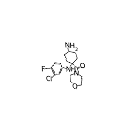 NC1CCC(Nc2ccc(F)c(Cl)c2)(C(=O)N2CCOCC2)CC1